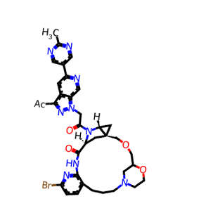 CC(=O)c1nn(CC(=O)N2[C@H]3C[C@@]4(COCC5CN(CCCc6ccc(Br)nc6NC3=O)CCO5)C[C@@H]24)c2cnc(-c3cnc(C)nc3)cc12